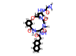 CN(C)CC(=O)N[C@H]1C[C@H]2COc3cccc(c3)C(=O)N(C)C[C@H](NC(=O)Cc3ccc4ccccc4c3)C(=O)N(C)CC(=O)N2C1